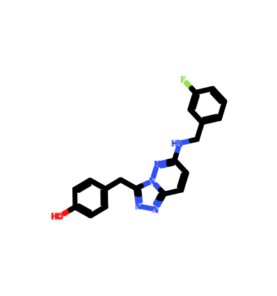 Oc1ccc(Cc2nnc3ccc(NCc4cccc(F)c4)nn23)cc1